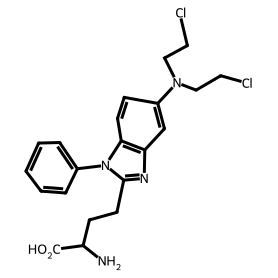 NC(CCc1nc2cc(N(CCCl)CCCl)ccc2n1-c1ccccc1)C(=O)O